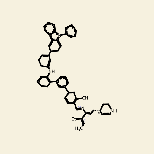 C/C=C(CC)/C(=C/C[C@H]1C=CNCC1)/N=C/C1=C(C#N)CC(c2cccc(C3=C(NC4=CC(C5C=c6c(n(-c7ccccc7)c7ccccc67)=CC5)=CCC4)C=CCC3)c2)C=C1